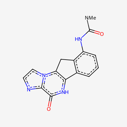 CNC(=O)Nc1cccc2c1Cc1c-2[nH]c(=O)c2nccn12